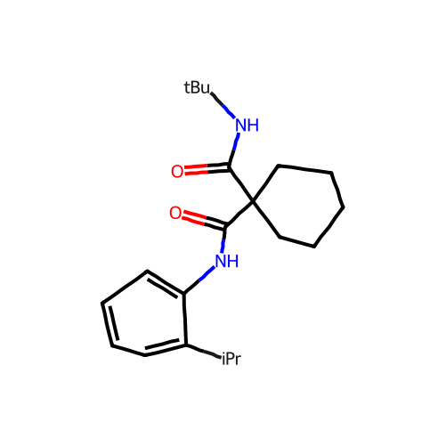 CC(C)c1ccccc1NC(=O)C1(C(=O)NC(C)(C)C)CCCCC1